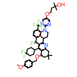 COc1ccc(CO[C@H]2CC(C)(C)Cc3nc(C4CCN(c5ncc(OCCC(C)(C)O)cn5)CC4)c([C@@H](F)c4ccc(C(F)(F)F)cc4)c(C4CCC(F)(F)CC4)c32)cc1